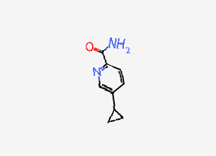 NC(=O)c1ccc(C2CC2)cn1